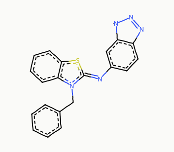 c1ccc(Cn2c(=Nc3ccc4c(c3)[N]N=N4)sc3ccccc32)cc1